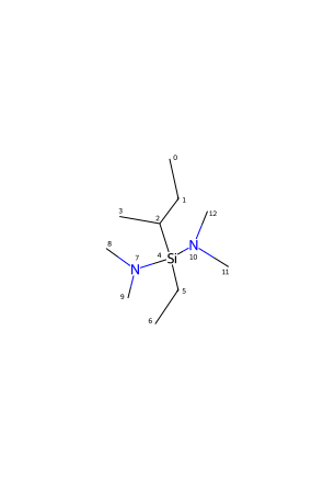 CCC(C)[Si](CC)(N(C)C)N(C)C